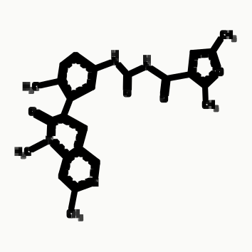 Cc1cc2c(cn1)cc(-c1cc(NC(=O)NC(=O)c3cc(C)oc3C)ccc1C)c(=O)n2C